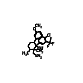 COc1cccc(C2CCC(C)C(C)(CN)C2(O)c2ccc(Cl)c(C(F)(F)F)c2)c1